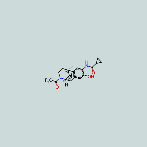 C[C@@H]1[C@H]2Cc3cc(O)c(NC(=O)C4CC4)cc3[C@]1(C)CCN2C(=O)C(F)(F)F